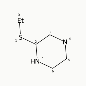 CCSC1C[N]CCN1